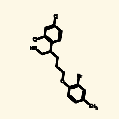 Cc1ccc(OCCCC(CO)c2ccc(Cl)cc2Cl)c(Br)c1